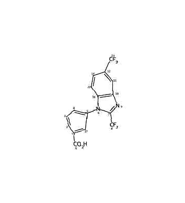 O=C(O)c1cccc(-n2c(C(F)(F)F)nc3cc(C(F)(F)F)ccc32)c1